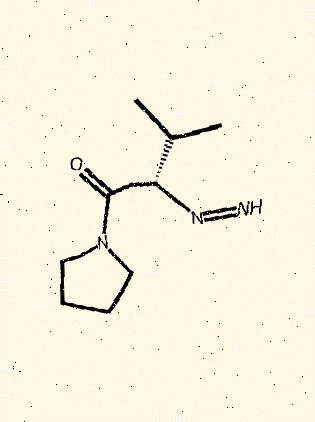 CC(C)[C@H](N=N)C(=O)N1CCCC1